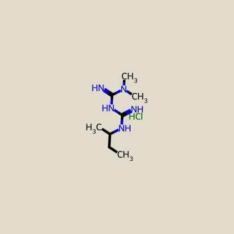 CCC(C)NC(=N)NC(=N)N(C)C.Cl